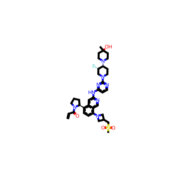 C=CC(=O)N1CCC[C@H]1c1ccc(N2CC(CS(C)(=O)=O)C2)c2cnc(Nc3ccnc(N4CC[C@@H](N5CCC(C)(O)CC5)[C@@H](F)C4)n3)cc12